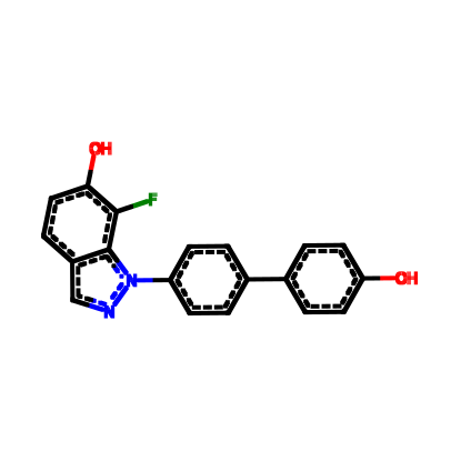 Oc1ccc(-c2ccc(-n3ncc4ccc(O)c(F)c43)cc2)cc1